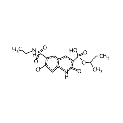 CCNS(=O)(=O)c1cc2cc(P(=O)(O)OC(C)CC)c(=O)[nH]c2cc1Cl